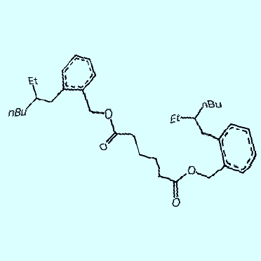 CCCCC(CC)Cc1ccccc1COC(=O)CCCCC(=O)OCc1ccccc1CC(CC)CCCC